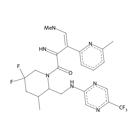 CN/C=C(\C(=N)C(=O)N1CC(F)(F)CC(C)C1CNc1cnc(C(F)(F)F)cn1)c1cccc(C)n1